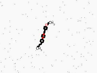 CCCCCC1CCC(C23CCC(C#Cc4ccc(OCCC)cc4)(CC2)CC3)CC1